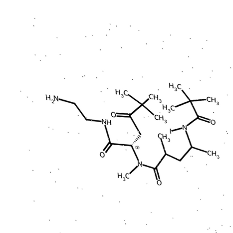 CC(CC(C)N(I)C(=O)C(C)(C)C)C(=O)N(C)[C@@H](CC(=O)C(C)(C)C)C(=O)NCCN